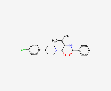 CC(C)=C(NC(=O)c1ccccc1)C(=O)N1CCC(c2ccc(Cl)cc2)CC1